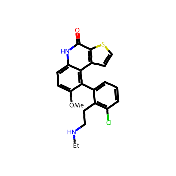 CCNCCc1c(Cl)cccc1-c1c(OC)ccc2[nH]c(=O)c3sccc3c12